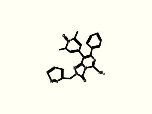 CC1=CC(c2c(-c3ccccc3)nc(N)n3c(=O)n(Cc4cccnn4)nc23)=CC(C)[N+]1=O